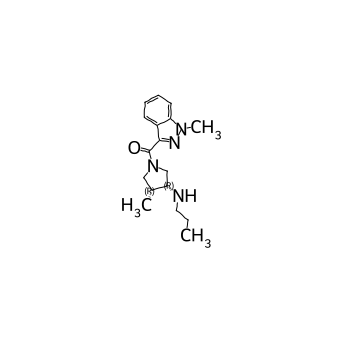 CCCN[C@H]1CN(C(=O)c2nn(C)c3ccccc23)C[C@H]1C